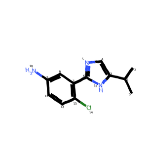 CC(C)c1cnc(-c2cc(N)ccc2Cl)[nH]1